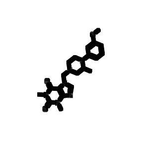 COc1cccc(N2CCN(Cn3cnc4c3c(=O)n(C)c(=O)n4C)CC2C)c1